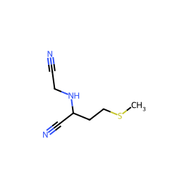 CSCCC(C#N)NCC#N